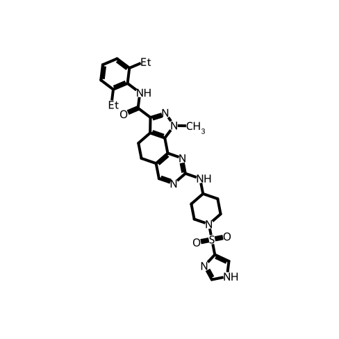 CCc1cccc(CC)c1NC(=O)c1nn(C)c2c1CCc1cnc(NC3CCN(S(=O)(=O)c4c[nH]cn4)CC3)nc1-2